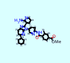 COC(=O)c1ccc(C(=O)Nc2ccc(-n3c(-c4cccnc4N)nc4ccc(-c5ccccc5)nc43)cn2)c(C)c1